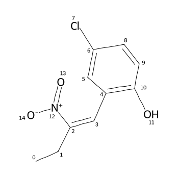 CCC(=Cc1cc(Cl)ccc1O)[N+](=O)[O-]